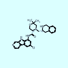 CC1(C)CN(C[C@H]2Cc3ccccc3CN2)[C@H](C(=O)Nc2cc(Cl)cc3c2[nH]c2cnccc23)CO1